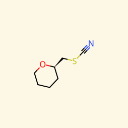 N#CSC[C@H]1CCCCO1